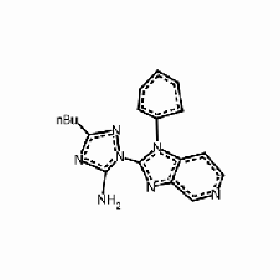 CCCCc1nc(N)n(-c2nc3cnccc3n2-c2ccccc2)n1